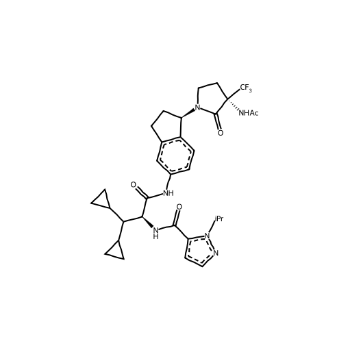 CC(=O)N[C@@]1(C(F)(F)F)CCN([C@@H]2CCc3cc(NC(=O)[C@@H](NC(=O)c4ccnn4C(C)C)C(C4CC4)C4CC4)ccc32)C1=O